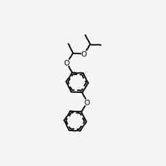 CC(C)OC(C)Oc1ccc(Oc2ccccc2)cc1